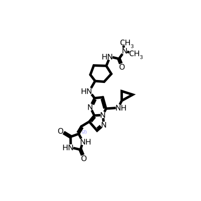 CN(C)C(=O)NC1CCC(Nc2cc(NC3CC3)n3ncc(/C=C4\NC(=O)NC4=O)c3n2)CC1